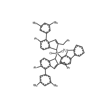 CC(C)CC1=Cc2c(ccc(C(C)C)c2-c2cc(C(C)(C)C)cc(C(C)(C)C)c2)[CH]1[Zr]([Cl])([Cl])([c]1cccc2c1[SiH2]c1ccccc1-2)[CH]1C(CC(C)C)=Cc2c1ccc(C(C)C)c2-c1cc(C(C)(C)C)cc(C(C)(C)C)c1